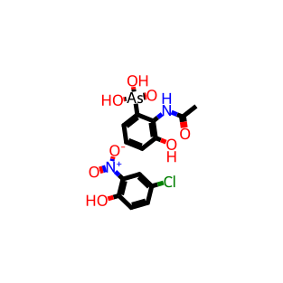 CC(=O)Nc1c(O)cccc1[As](=O)(O)O.O=[N+]([O-])c1cc(Cl)ccc1O